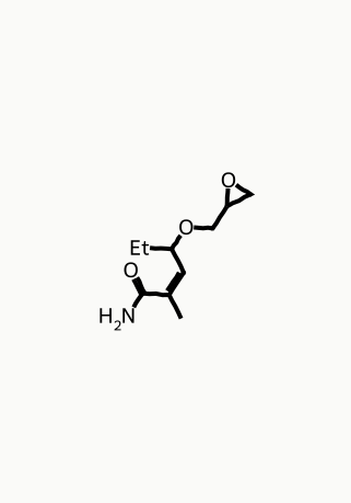 CCC(C=C(C)C(N)=O)OCC1CO1